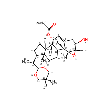 CNC(=O)O[C@@H]1C=C2C[C@@H](O)[C@@H]3O[C@@H]3[C@]2(C)[C@H]2CC[C@]3(C)[C@@H](C(C)C4OCC(C)(C)CO4)CC[C@H]3[C@H]12